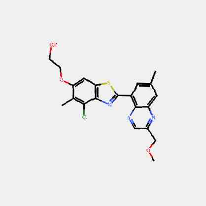 COCc1cnc2c(-c3nc4c(Cl)c(C)c(OCCO)cc4s3)cc(C)cc2n1